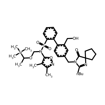 CCCCC1=NC2(CCCC2)C(=O)N1Cc1ccc(-c2ccccc2S(=O)(=O)N(COC(C)[Si](C)(C)C)c2onc(C)c2C)c(CO)c1